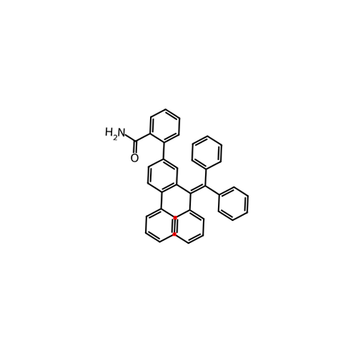 NC(=O)c1ccccc1-c1ccc(-c2ccccc2)c(C(=C(c2ccccc2)c2ccccc2)c2ccccc2)c1